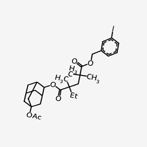 CCC(C)(CC(C)(C)C(=O)OCc1cccc(I)c1)C(=O)OC1C2CC3CC1CC(OC(C)=O)(C3)C2